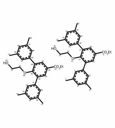 CCOC(=O)c1cc(-c2cc(C)cc(C)c2)c(OCCO)c(-c2cc(C)cc(C)c2)c1.CCOC(=O)c1cc(-c2cc(C)cc(C)c2)c(OCCO)c(-c2cc(C)cc(C)c2)c1